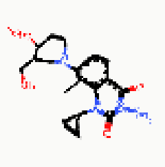 Cc1c(N2CCC(O)C(CO)C2)ccc2c(=O)n(N)c(=O)n(C3CC3)c12